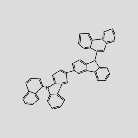 c1ccc2c(-n3c4ccccc4c4cc(-c5ccc6c(c5)c5ccccc5n6-c5cc6ccccc6c6ccccc56)ccc43)cccc2c1